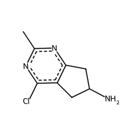 Cc1nc(Cl)c2c(n1)CC(N)C2